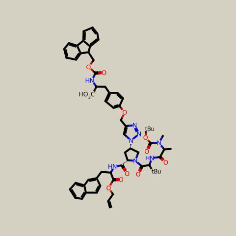 C=CCOC(=O)C(Cc1ccc2ccccc2c1)NC(=O)[C@@H]1C[C@H](n2cc(COc3ccc(CC(NC(=O)OCC4c5ccccc5-c5ccccc54)C(=O)O)cc3)nn2)CN1C(=O)C(NC(=O)C(C)N(C)C(=O)OC(C)(C)C)C(C)(C)C